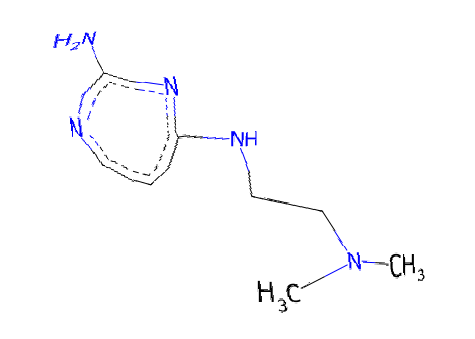 CN(C)CCNc1ccnc(N)n1